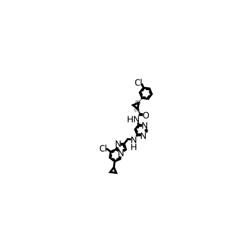 O=C(Nc1cc(NCc2cn3cc(C4CC4)cc(Cl)c3n2)ncn1)[C@H]1C[C@@H]1c1cccc(Cl)c1